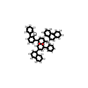 c1cc(-c2ccccc2N(c2ccc(-c3cccc4c3oc3ccccc34)cc2)c2cc3ccccc3c3ccccc23)cc(-c2cccc3ccccc23)c1